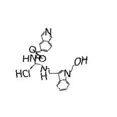 C[C@H](CNCCc1cn(CCO)c2ccccc12)NS(=O)(=O)c1ccc2cnccc2c1.Cl